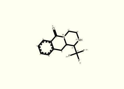 O=C1c2ccccc2CC2C(C(F)(F)F)NCCN12